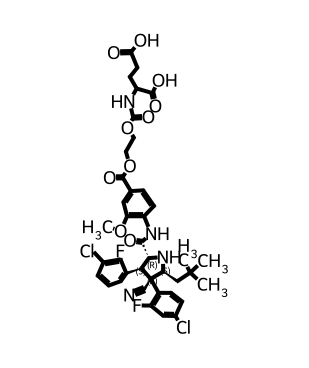 COc1cc(C(=O)OCCOC(=O)NC(CCC(=O)O)C(=O)O)ccc1NC(=O)[C@@H]1N[C@@H](CC(C)(C)C)[C@](C#N)(c2ccc(Cl)cc2F)[C@H]1c1cccc(Cl)c1F